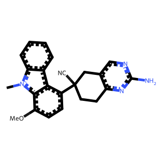 COc1ccc(C2(C#N)CCc3nc(N)ncc3C2)c2c3ccccc3n(C)c12